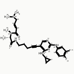 C[C@@H](C(=O)NCCCC#Cc1cnc(Nc2ccc(F)c(F)c2)nc1NC1CC1)N(C)C(=O)/C=C/CN(C)C